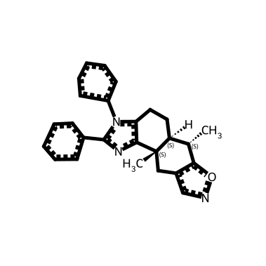 C[C@@H]1c2oncc2C[C@]2(C)c3nc(-c4ccccc4)n(-c4ccccc4)c3CC[C@@H]12